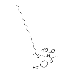 [CH2]C(Oc1ccc(O)cc1)N(CCSC(C)CCCCCCCCCCCCCCCC)C(=O)O